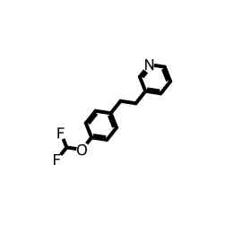 FC(F)Oc1ccc(CCc2cccnc2)cc1